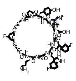 C=N/C=C(/C[C@@H]1NC(=O)[C@H](CC(=O)O)NC(=O)[C@H](Cc2c[nH]c3ccc(F)cc23)NC(=O)[C@H](CCc2c[nH]c3ccc(F)cc23)NC(=O)[C@@H](C)NC(=O)[C@H](CCCCN)NC(=O)CCSCc2cc(F)cc(c2)CSCCNC(=O)[C@]2(C)CCCN2C(=O)[C@H](Cc2ccc(O)cc2)NC1=O)NC